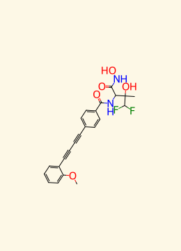 COc1ccccc1C#CC#Cc1ccc(C(=O)NC(C(=O)NO)C(C)(O)C(F)F)cc1